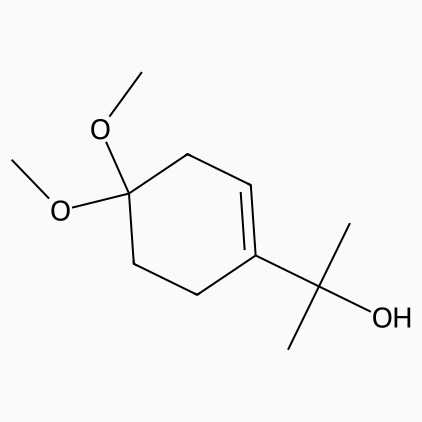 COC1(OC)CC=C(C(C)(C)O)CC1